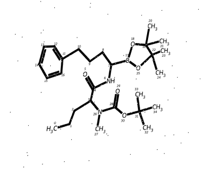 CCCC(C(=O)NC(CCCc1ccccc1)B1OC(C)(C)C(C)(C)O1)N(C)C(=O)OC(C)(C)C